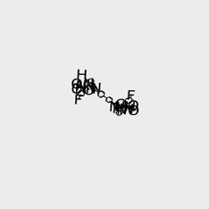 COC(=O)N[C@H](C(=O)N1CC2CCC1(c1nc(-c3ccc(-c4ccc(-c5c[nH]c(C67CCC(CN6C(=O)[C@@H](NC(=O)OC)c6ccc(F)cc6)C7)n5)cc4)cc3)c[nH]1)C2)c1ccc(F)cc1